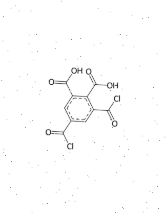 O=C(Cl)c1cc(C(=O)O)c(C(=O)O)c(C(=O)Cl)c1